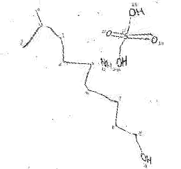 CC(C)CCCCCCCO.N.O=S(=O)(O)O